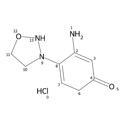 Cl.NC1=CC(=O)CC=C1N1CCON1